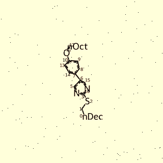 CCCCCCCCCCCSc1ncc(-c2ccc(OCCCCCCCC)cc2)cn1